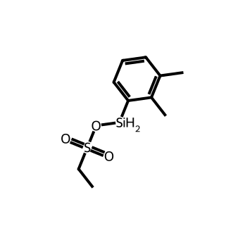 CCS(=O)(=O)O[SiH2]c1cccc(C)c1C